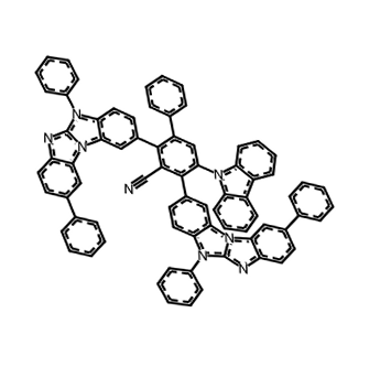 N#Cc1c(-c2ccc3c(c2)n2c4cc(-c5ccccc5)ccc4nc2n3-c2ccccc2)c(-c2ccccc2)cc(-n2c3ccccc3c3ccccc32)c1-c1ccc2c(c1)n1c3cc(-c4ccccc4)ccc3nc1n2-c1ccccc1